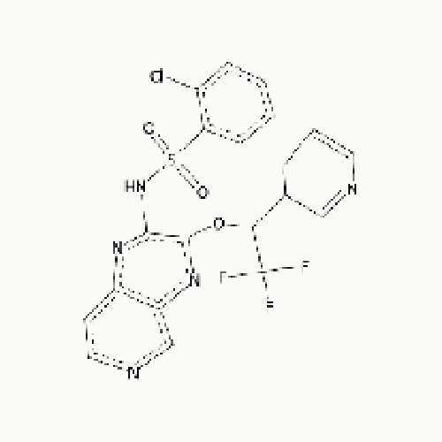 O=S(=O)(Nc1nc2ccncc2nc1OC(C1C=NC=CC1)C(F)(F)F)c1ccccc1Cl